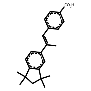 CC(=Cc1ccc(C(=O)O)cc1)c1ccc2c(c1)C(C)(C)CC2(C)C